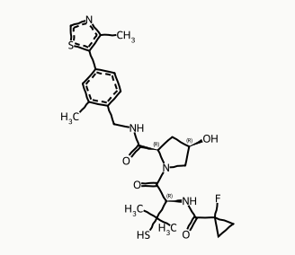 Cc1cc(-c2scnc2C)ccc1CNC(=O)[C@H]1C[C@@H](O)CN1C(=O)[C@@H](NC(=O)C1(F)CC1)C(C)(C)S